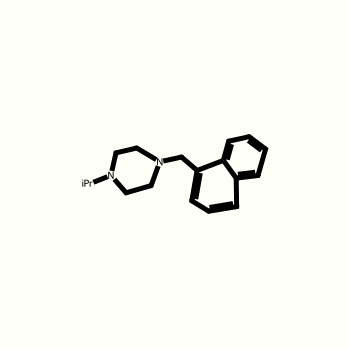 CC(C)N1CCN(Cc2cccc3ccccc23)CC1